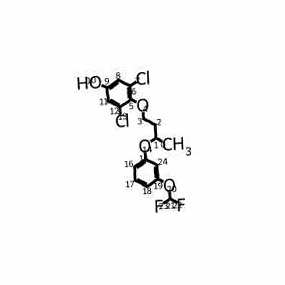 CC(CCOc1c(Cl)cc(O)cc1Cl)Oc1cccc(OC(F)F)c1